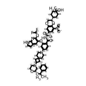 CC(C)c1ccccc1[C@@H]1COCCN1C1CC2(CCN(c3ccc(C(=O)NS(=O)(=O)c4cc5c(c([N+](=O)[O-])c4)O[C@H](C4CCC(C)(O)CC4)CO5)c(Oc4cc5cc[nH]c5nc4OC(F)F)c3)CC2)C1